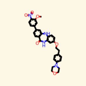 COc1cc(-c2ccc3c(c2)Nc2ccc(OCCc4ccc(N5CCOCC5)cc4)cc2NC3=O)ccc1[N+](=O)[O-]